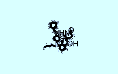 CCCCCN(c1cccc2c1CN(C1CCC(=O)NC1=O)C2O)[C@H]1CC[C@H](NCc2ccccc2)CC1